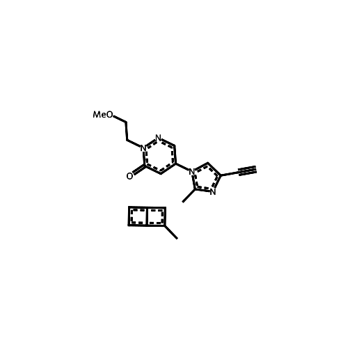 C#Cc1cn(-c2cnn(CCOC)c(=O)c2)c(C)n1.Cc1cc2ccc1-2